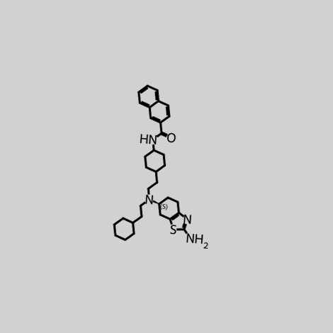 Nc1nc2c(s1)C[C@@H](N(CCC1CCCCC1)CCC1CCC(NC(=O)c3ccc4ccccc4c3)CC1)CC2